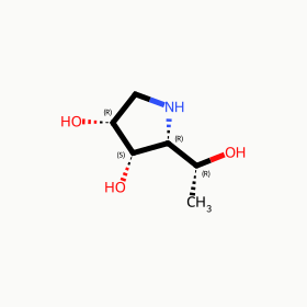 C[C@@H](O)[C@H]1NC[C@@H](O)[C@H]1O